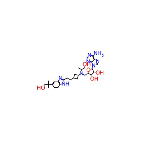 CC(CO)N(C[C@H]1O[C@@H](n2cnc3c(N)ncnc32)[C@H](O)[C@@H]1O)C1CC(CCc2nc3cc(C(C)(C)CO)ccc3[nH]2)C1